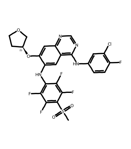 CS(=O)(=O)c1c(F)c(F)c(Nc2cc3c(Nc4ccc(F)c(Cl)c4)ncnc3cc2O[C@H]2CCOC2)c(F)c1F